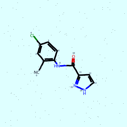 N#Cc1cc(Cl)ccc1NC(=O)c1cc[nH]n1